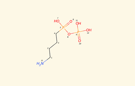 NCCCCP(=O)(O)OP(=O)(O)O